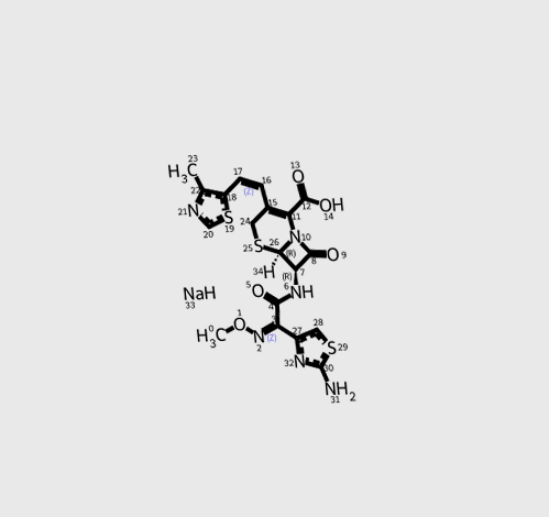 CO/N=C(\C(=O)N[C@@H]1C(=O)N2C(C(=O)O)=C(/C=C\c3scnc3C)CS[C@H]12)c1csc(N)n1.[NaH]